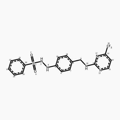 O=S(=O)(NNc1ccc(CNc2nccc(C(F)(F)F)n2)cc1)c1ccccc1